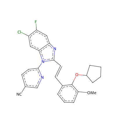 COc1cccc(C=Cc2nc3cc(F)c(Cl)cc3n2-c2ccc(C#N)cn2)c1OC1CCCC1